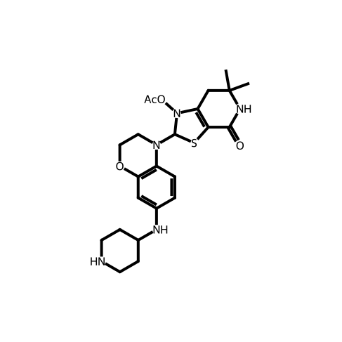 CC(=O)ON1C2=C(SC1N1CCOc3cc(NC4CCNCC4)ccc31)C(=O)NC(C)(C)C2